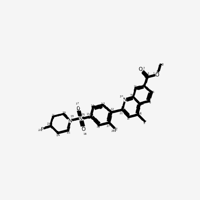 COC(=O)c1ccc2c(C)cc(-c3ccc(S(=O)(=O)N4CCC(F)CC4)cc3F)nc2c1